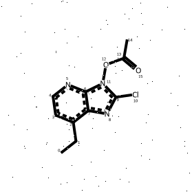 CCc1ccnc2c1nc(Cl)n2OC(C)=O